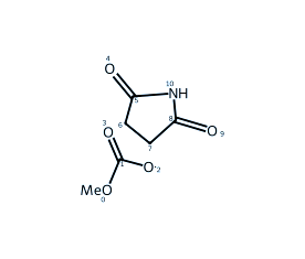 COC([O])=O.O=C1CCC(=O)N1